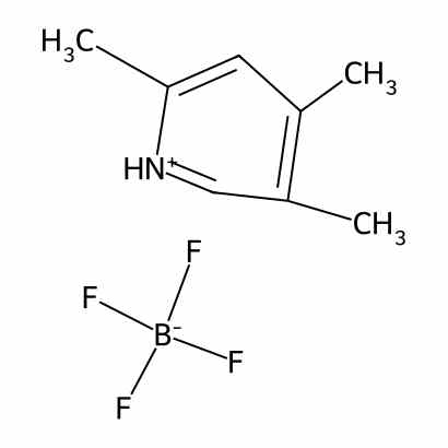 Cc1cc(C)c(C)c[nH+]1.F[B-](F)(F)F